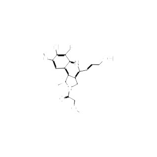 COCC(=O)N1Cc2c(C=CCO)nc3c(F)c(Cl)c(OC)cc3c2[C@@H]1C